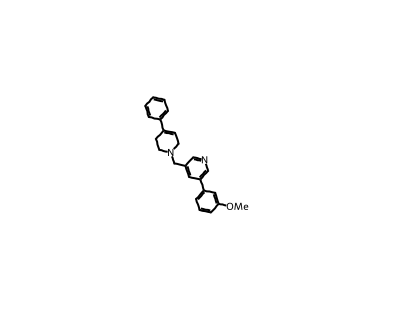 COc1cccc(-c2cncc(CN3CC=C(c4ccccc4)CC3)c2)c1